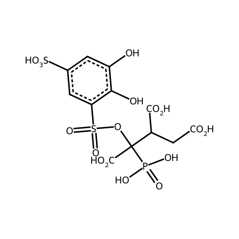 O=C(O)CC(C(=O)O)C(OS(=O)(=O)c1cc(S(=O)(=O)O)cc(O)c1O)(C(=O)O)P(=O)(O)O